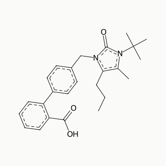 CCCc1c(C)n(C(C)(C)C)c(=O)n1Cc1ccc(-c2ccccc2C(=O)O)cc1